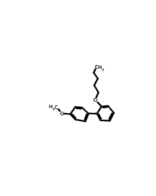 CCCCCOc1ccccc1-c1ccc(OC)cc1